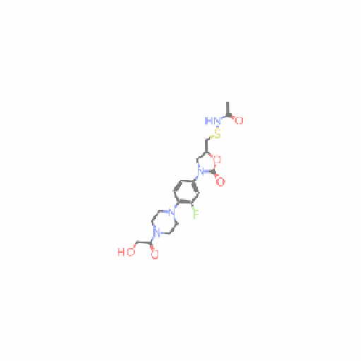 CC(=O)NSCC1CN(c2ccc(N3CCN(C(=O)CO)CC3)c(F)c2)C(=O)O1